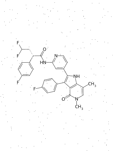 Cc1cn(C)c(=O)c2c(-c3ccc(F)cc3)c(-c3ccnc(NC(=O)[C@@H](CC(F)F)c4ccc(F)cc4)c3)[nH]c12